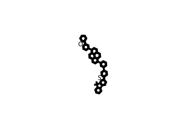 CC1(C)c2ccccc2-c2ccc3c(sc4cc(-c5cccc(-c6ccc7ccc8c(-c9ccc%10oc%11ccccc%11c%10c9)ccc9ccc6c7c98)c5)ccc43)c21